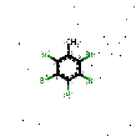 [CH2]c1c(Br)c(Br)c(Br)c(Br)c1Br